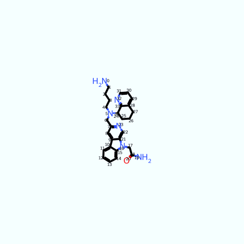 NCCCCN(Cc1cc2c3ccccc3n(CC(N)=O)c2cn1)[C@@H]1CCCc2cccnc21